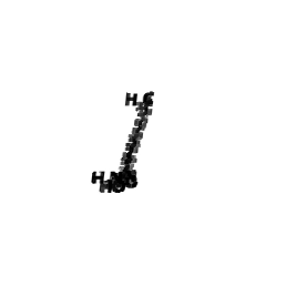 CCCCCCCCCCCCCCCCCCCC(N=O)[C@H](N)CO